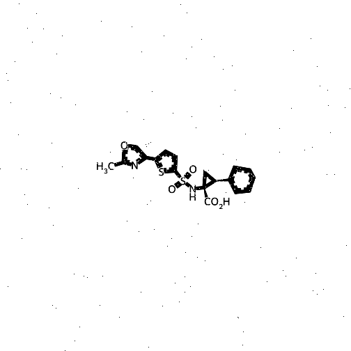 Cc1nc(-c2ccc(S(=O)(=O)N[C@]3(C(=O)O)C[C@H]3c3ccccc3)s2)co1